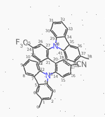 Cc1ccc2c(c1)c1ccccc1n2-c1ccc(C#N)cc1-c1ccc(C(F)(F)F)cc1-n1c2ccccc2c2cc(C)ccc21